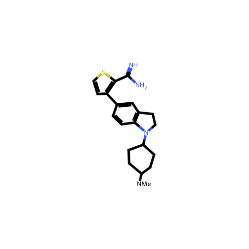 CNC1CCC(N2CCc3cc(-c4ccsc4C(=N)N)ccc32)CC1